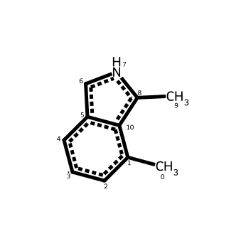 Cc1c[c]cc2c[nH]c(C)c12